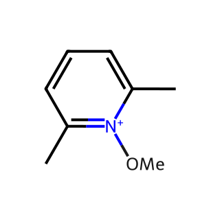 CO[n+]1c(C)cccc1C